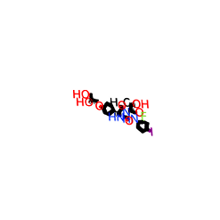 C[C@@H](O)[C@@H](C(=O)Nc1ccc(I)cc1F)N1C(=O)N[C@H](c2ccc(OC[C@H](O)CO)cc2)C1=O